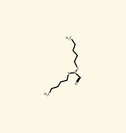 CCCCCSN([C]=O)SCCCCC